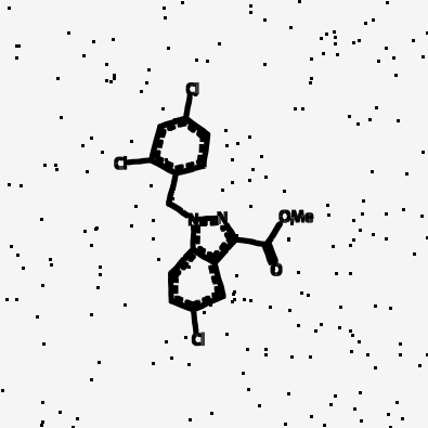 COC(=O)c1nn(Cc2ccc(Cl)cc2Cl)c2ccc(Cl)cc12